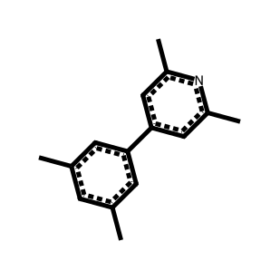 Cc1cc(C)cc(-c2cc(C)nc(C)c2)c1